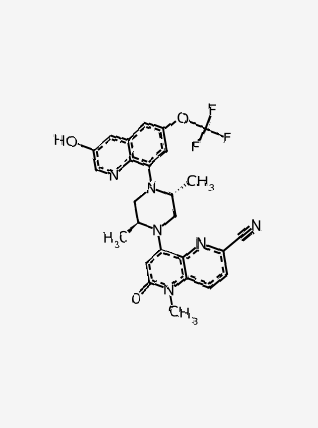 C[C@@H]1CN(c2cc(=O)n(C)c3ccc(C#N)nc23)[C@@H](C)CN1c1cc(OC(F)(F)F)cc2cc(O)cnc12